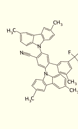 Cc1cc(-c2cc(-n3c4ccc(C)cc4c4cc(C)ccc43)c(C#N)cc2-n2c3ccc(C)cc3c3cc(C)ccc32)cc(C(F)(F)F)c1